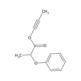 CC#COC(=O)C(C)Oc1ccccc1